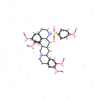 CCC1CN2CCc3cc(OC)c(OC)cc3C2CC1CC1c2cc(OC)c(OC)cc2CCN1S(=O)(=O)c1ccc(OC)cc1